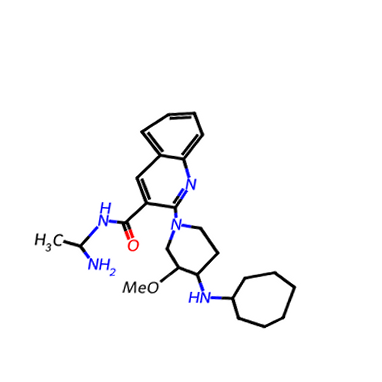 COC1CN(c2nc3ccccc3cc2C(=O)NC(C)N)CCC1NC1CCCCCC1